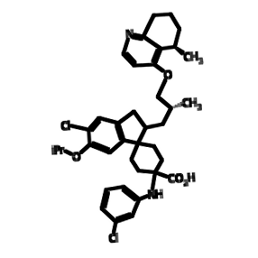 CC(C)Oc1cc2c(cc1Cl)CC(C[C@@H](C)COc1ccnc3c1[C@H](C)CCC3)C21CCC(Nc2cccc(Cl)c2)(C(=O)O)CC1